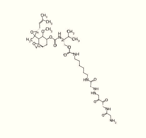 COC1C(OC(=O)N[C@@H](COC(=O)NCCCCCCNC(=O)CNNCC(=O)C(=O)CNC(=O)CN)C(C)C)CC[C@]2(CO2)C1C1(C)O[C@@H]1CC=C(C)C